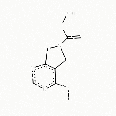 CC(C)(C)OC(=O)N1Cc2ncnc(NF)c2C1